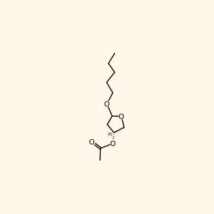 CCCCCOC1C[C@@H](OC(C)=O)CO1